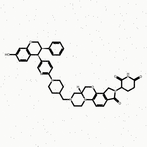 O=C1CCC(N2Cc3c(ccc4c3OC[C@H]3CN(CC5CCN(c6ccc([C@H]7c8ccc(O)cc8OC[C@H]7c7ccccc7)cn6)CC5)CCN43)C2=O)C(=O)N1